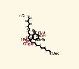 CCCCCCCCCCCCCCCCCCC(CCCCCCCCCCCCCCCCCC)(C1=CC(C(C)(C)C)C(O)(CCCC)C(C(C)(C)C)=C1)P(=O)(O)O